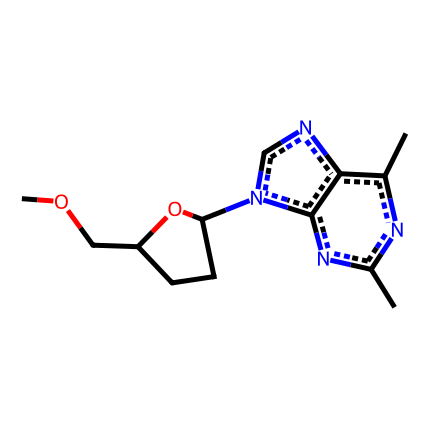 COCC1CCC(n2cnc3c(C)nc(C)nc32)O1